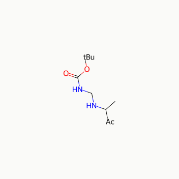 CC(=O)C(C)NCNC(=O)OC(C)(C)C